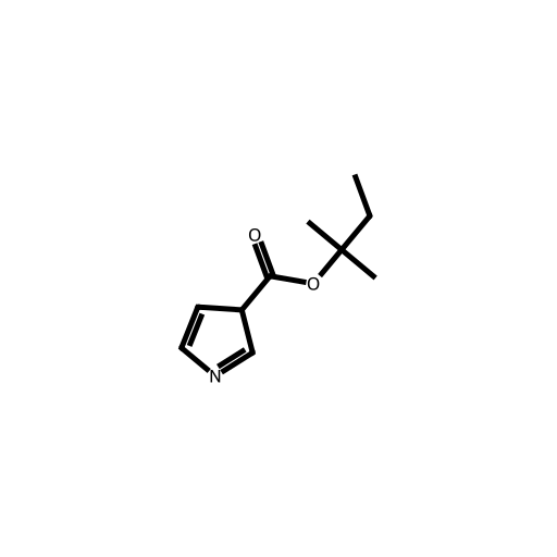 CCC(C)(C)OC(=O)C1C=CN=C1